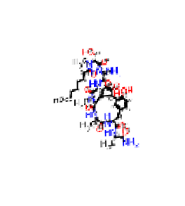 CCCCCCCCCCCCCCCC(=O)N(C)[C@H](CO)C(=O)N[C@H](N)C(=O)NCC(=O)N(C)[C@@H]1C(=O)N[C@@H](C)C(=O)N[C@H](C(=O)N[C@@H](C)C(N)=O)Cc2ccc(O)c(c2)-c2cc1ccc2O